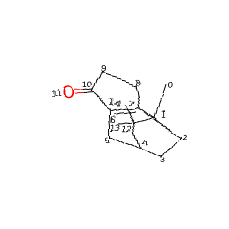 CC12CCC(CC3=C1CCC3=O)C2(C)C